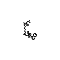 CC(C)CC(=O)N(C)CCCCCCN(C)/C=C1/N=C(c2cccc3ccccc23)OC1=O